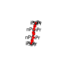 CCC/C(C#Cc1ccc(C#C[Si](C(C)C)(C(C)C)C(C)C)cc1)=C(\C#Cc1ccc2cc(C#C/C(CCC)=C(/C#Cc3ccc(C#C[Si](C(C)C)(C(C)C)C(C)C)cc3)CCC)ccc2c1)CCC